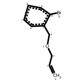 C=CCOCc1ccccc1Br